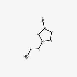 OCCN1CC[C@H](F)C1